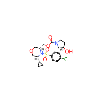 O=C(OC[C@H]1COC[C@@H](C2CC2)N1S(=O)(=O)c1ccc(Cl)cc1)N1CC[C@@H](O)C1